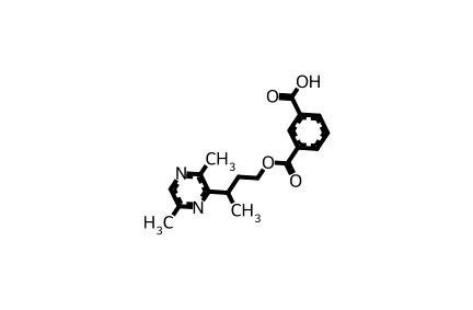 Cc1cnc(C)c(C(C)CCOC(=O)c2cccc(C(=O)O)c2)n1